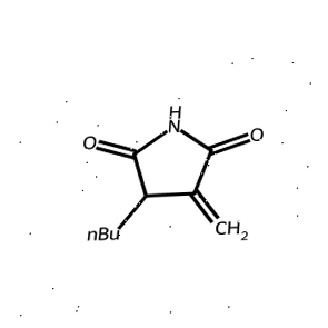 C=C1C(=O)NC(=O)C1CCCC